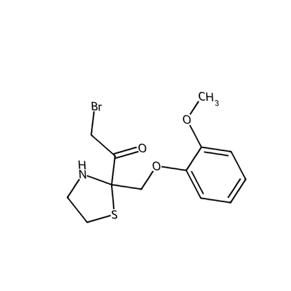 COc1ccccc1OCC1(C(=O)CBr)NCCS1